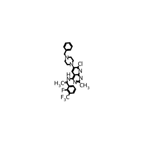 Cc1nc(N[C@H](C)c2cccc(C(F)(F)F)c2F)c2cc(N3CCN(Cc4ccccc4)CC3)c(Cl)nc2n1